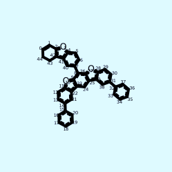 C1=Cc2oc3ccc(-c4c5oc6ccc(-c7ccccc7)cc6c5cc5c4oc4ccc(-c6ccccc6)cc45)cc3c2CC1